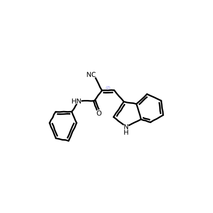 N#C/C(=C/c1c[nH]c2ccccc12)C(=O)Nc1ccccc1